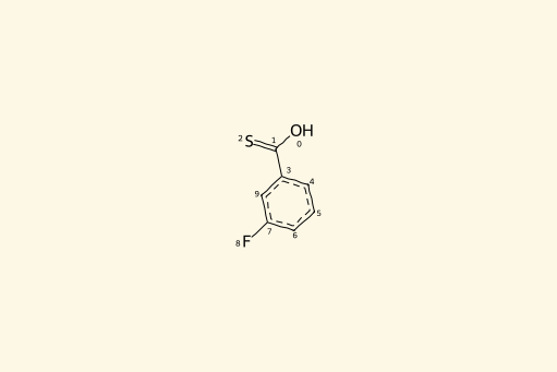 OC(=S)c1cccc(F)c1